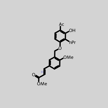 CCCc1c(OCc2cc(/C=C/C(=O)OC)ccc2OC)ccc(C(C)=O)c1O